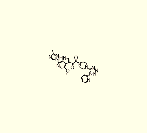 COc1cnc(-n2cnc(C)n2)c2[nH]cc(C(=O)C(=O)N3CCN(c4nnnn4-c4ccccn4)CC3)c12